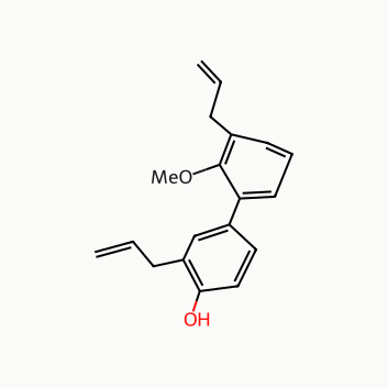 C=CCc1cc(-c2cccc(CC=C)c2OC)ccc1O